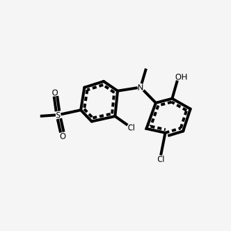 CN(c1cc(Cl)ccc1O)c1ccc(S(C)(=O)=O)cc1Cl